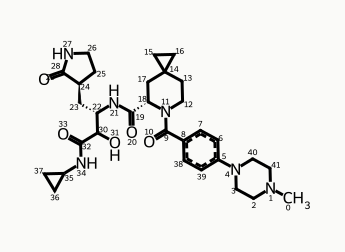 CN1CCN(c2ccc(C(=O)N3CCC4(CC4)C[C@H]3C(=O)N[C@@H](C[C@@H]3CCNC3=O)C(O)C(=O)NC3CC3)cc2)CC1